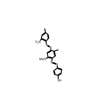 COc1cc(/N=N/c2ccc(C)cc2[N+](=O)[O-])c(C)cc1/N=N/c1ccc(S)cc1